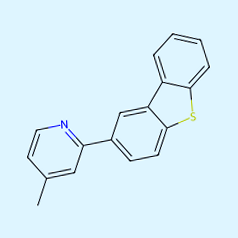 Cc1ccnc(-c2ccc3sc4ccccc4c3c2)c1